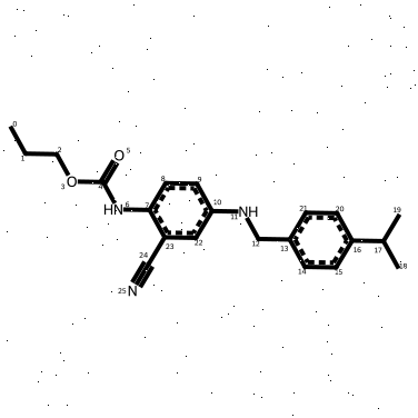 CCCOC(=O)Nc1ccc(NCc2ccc(C(C)C)cc2)cc1C#N